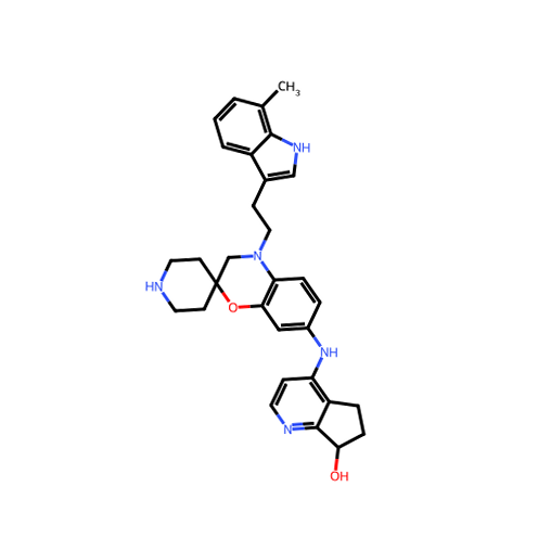 Cc1cccc2c(CCN3CC4(CCNCC4)Oc4cc(Nc5ccnc6c5CCC6O)ccc43)c[nH]c12